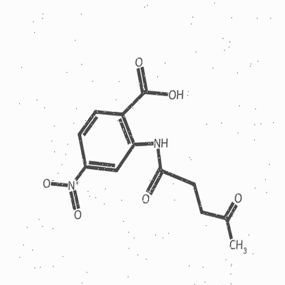 CC(=O)CCC(=O)Nc1cc([N+](=O)[O-])ccc1C(=O)O